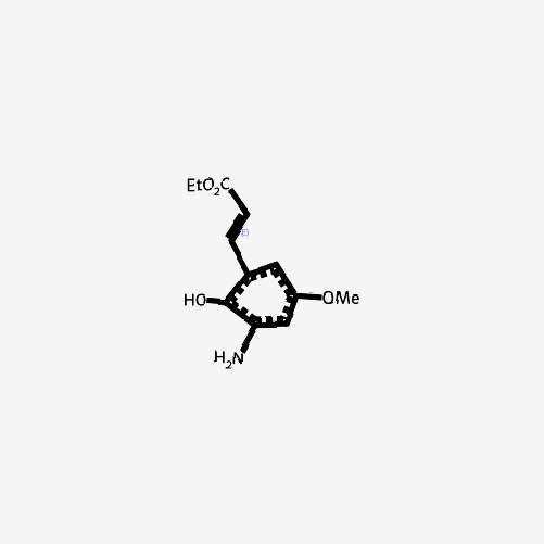 CCOC(=O)/C=C/c1cc(OC)cc(N)c1O